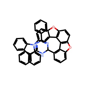 c1ccc(C2=NC(c3cccc4oc5ccc6oc7ccc(-n8c9ccccc9c9ccccc98)cc7c6c5c34)NC(c3ccccc3)=N2)cc1